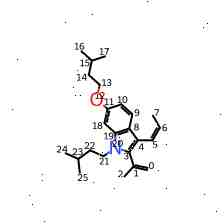 C=C(C)c1c(/C=C\C)c2ccc(OCCC(C)C)cc2n1CCC(C)C